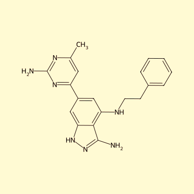 Cc1cc(-c2cc(NCCc3ccccc3)c3c(N)n[nH]c3c2)nc(N)n1